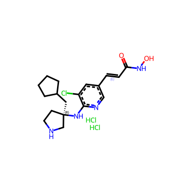 Cl.Cl.O=C(/C=C/c1cnc(N[C@]2(CC3CCCC3)CCNC2)c(Cl)c1)NO